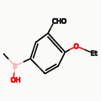 CCOc1ccc(B(C)O)cc1C=O